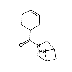 O=C(C1CC=CCC1)N1CC2CC(C1)N2